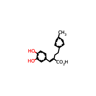 Cc1ccc(CC/C(=C\c2ccc(O)c(O)c2)C(=O)O)cc1